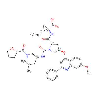 C=C[C@@H]1C[C@]1(NC(=O)[C@@H]1C[C@@H](Oc2cc(-c3ccccc3)nc3cc(OC)ccc23)CN1C(=O)N[C@H](CNC(=O)C1CCCO1)CC(C)C)C(=O)O